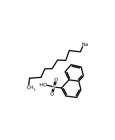 CCCCCCCC[CH2][Na].O=S(=O)(O)c1cccc2ccccc12